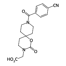 N#Cc1ccc(C(=O)N2CCC3(CCN(CC(=O)O)C(=O)O3)CC2)cc1